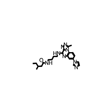 CCC(C)CC(=O)NCCCCNc1nc2cc(-n3ccnc3)ccc2n2c(C)nnc12